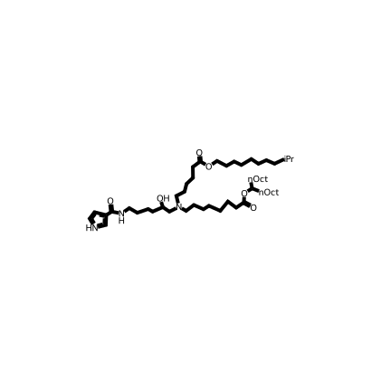 CCCCCCCCC(CCCCCCCC)OC(=O)CCCCCCCN(CCCCCC(=O)OCCCCCCCCC(C)C)CC(O)CCCCNC(=O)c1cc[nH]c1